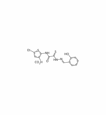 CCc1cc(C(=O)O)c(NC(=O)C(=S)N/N=C/c2ccccc2O)s1